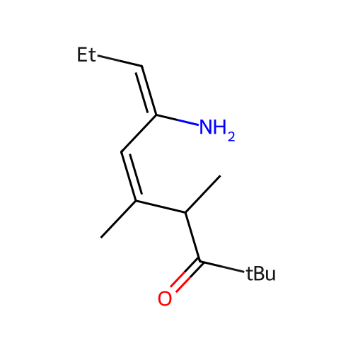 CC/C=C(N)\C=C(\C)C(C)C(=O)C(C)(C)C